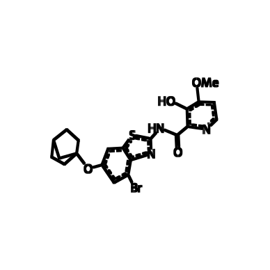 COc1ccnc(C(=O)Nc2nc3c(Br)cc(OC45CCC(CC4)C5)cc3s2)c1O